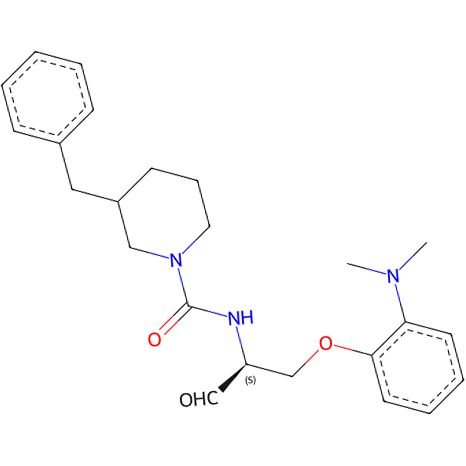 CN(C)c1ccccc1OC[C@@H](C=O)NC(=O)N1CCCC(Cc2ccccc2)C1